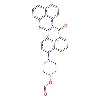 O=CON1CCN(c2ccc3c4c2cccc4c(=O)n2c4cccc5cccc(nc32)c54)CC1